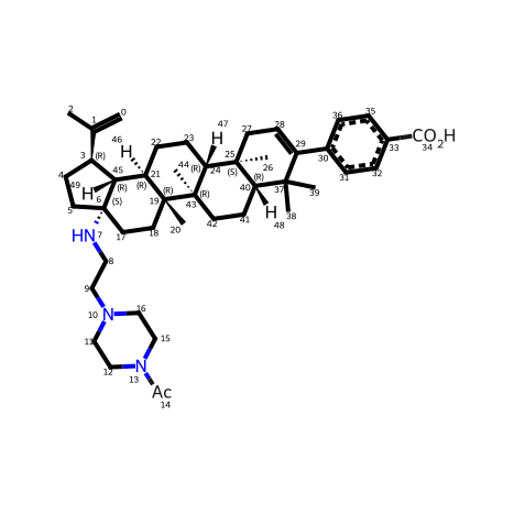 C=C(C)[C@@H]1CC[C@]2(NCCN3CCN(C(C)=O)CC3)CC[C@]3(C)[C@H](CC[C@@H]4[C@@]5(C)CC=C(c6ccc(C(=O)O)cc6)C(C)(C)[C@@H]5CC[C@]43C)[C@@H]12